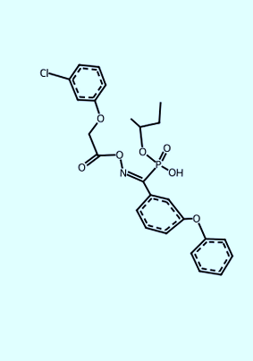 CCC(C)OP(=O)(O)C(=NOC(=O)COc1cccc(Cl)c1)c1cccc(Oc2ccccc2)c1